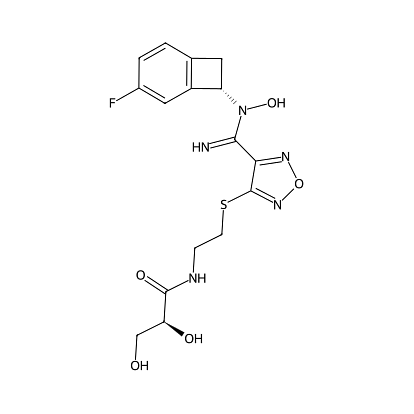 N=C(c1nonc1SCCNC(=O)[C@@H](O)CO)N(O)[C@H]1Cc2ccc(F)cc21